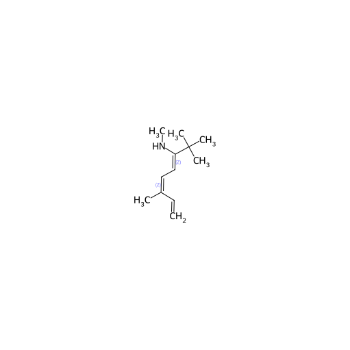 C=C/C(C)=C\C=C(/NC)C(C)(C)C